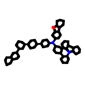 c1cc(-c2ccc(-c3ccc(N(c4ccc(-c5ccccc5-n5c6ccccc6c6ccccc65)cc4)c4ccc5c(c4)oc4ccccc45)cc3)cc2)cc(-c2ccc3ccccc3c2)c1